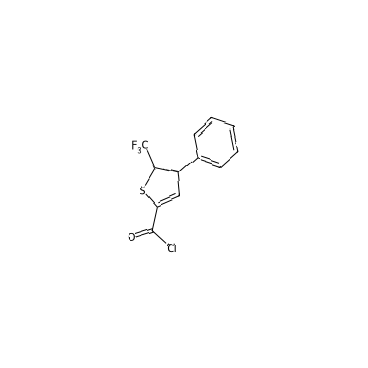 O=C(Cl)C1=CC(c2ccccc2)C(C(F)(F)F)S1